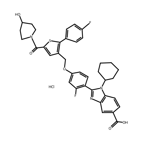 Cl.O=C(O)c1ccc2c(c1)nc(-c1ccc(OCc3cc(C(=O)N4CCC(O)CC4)sc3-c3ccc(F)cc3)cc1F)n2C1CCCCC1